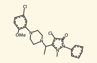 COc1ccc(Cl)cc1N1CCN(C(C)c2c(Cl)c(=O)n(-c3ccccc3)n2C)CC1